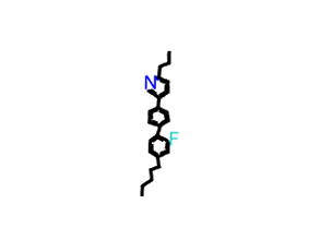 CCCCCc1ccc(-c2ccc(-c3ccc(CCC)nc3)cc2)c(F)c1